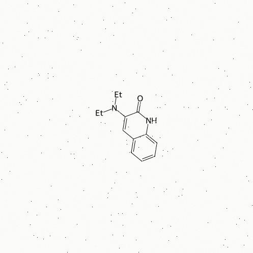 CCN(CC)c1cc2ccccc2[nH]c1=O